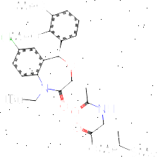 COC(=O)[C@@H](CCSC)NC(=O)C[C@H]1O[C@H](c2cccc(OC)c2OC)c2cc(Cl)ccc2N(CC(C)(C)C)C1=O